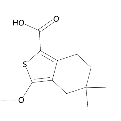 COc1sc(C(=O)O)c2c1CC(C)(C)CC2